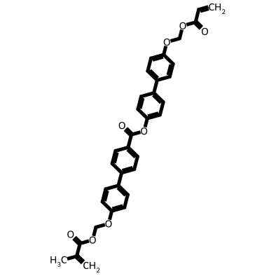 C=CC(=O)OCOc1ccc(-c2ccc(OC(=O)c3ccc(-c4ccc(OCOC(=O)C(=C)C)cc4)cc3)cc2)cc1